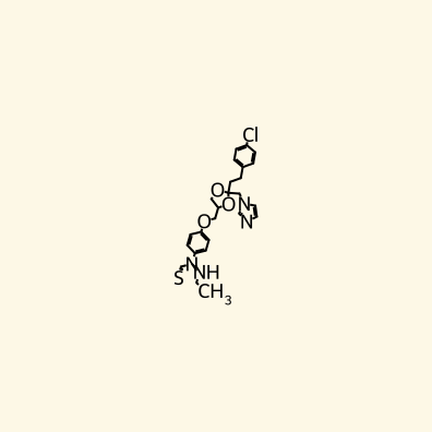 CCNN(C=S)c1ccc(OCC2COC(CCc3ccc(Cl)cc3)(Cn3ccnc3)O2)cc1